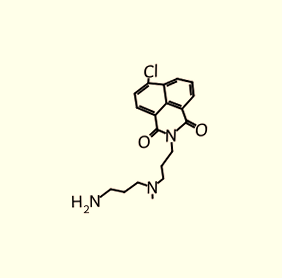 CN(CCCN)CCCN1C(=O)c2cccc3c(Cl)ccc(c23)C1=O